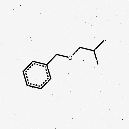 [CH2]C(C)COCc1ccccc1